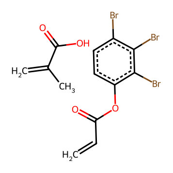 C=C(C)C(=O)O.C=CC(=O)Oc1ccc(Br)c(Br)c1Br